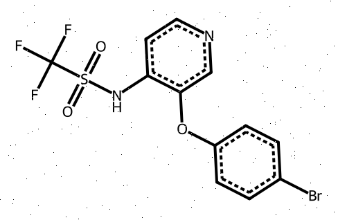 O=S(=O)(Nc1ccncc1Oc1ccc(Br)cc1)C(F)(F)F